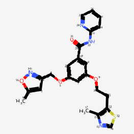 Cc1cc(COc2cc(OCCc3scnc3C)cc(C(=O)Nc3ccccn3)c2)no1